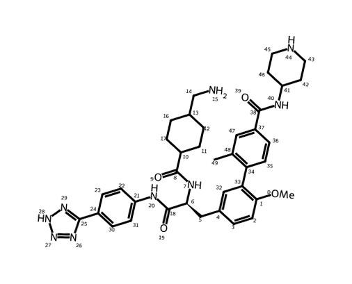 COc1ccc(C[C@H](NC(=O)C2CCC(CN)CC2)C(=O)Nc2ccc(-c3nn[nH]n3)cc2)cc1-c1ccc(C(=O)NC2CCNCC2)cc1C